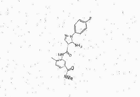 CNC(=O)c1ccc(C)c(NC(=O)C2C=NN(c3ccc(F)cc3)C2N)c1